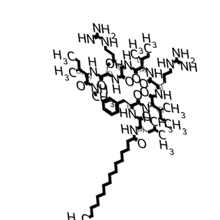 CCCCCCCCCCCCCCCC(=O)N[C@@H](CC(C)C)C(=O)N[C@@H](Cc1ccccc1)C(=O)N[C@H](C(=O)N[C@@H](CCCNC(=N)N)C(=O)N[C@H](C(=O)N[C@@H](CCCNC(=N)N)C(=O)N[C@@H](CO)C(=O)N[C@H](C(=O)NC)[C@@H](C)CC)[C@@H](C)CC)[C@@H](C)CC